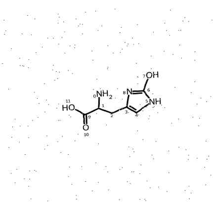 NC(Cc1c[nH]c(O)n1)C(=O)O